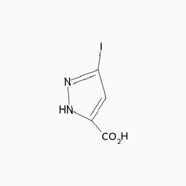 O=C(O)c1cc(I)n[nH]1